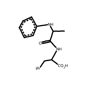 CC(C)CC(NC(=O)C(C)Nc1ccccc1)C(=O)O